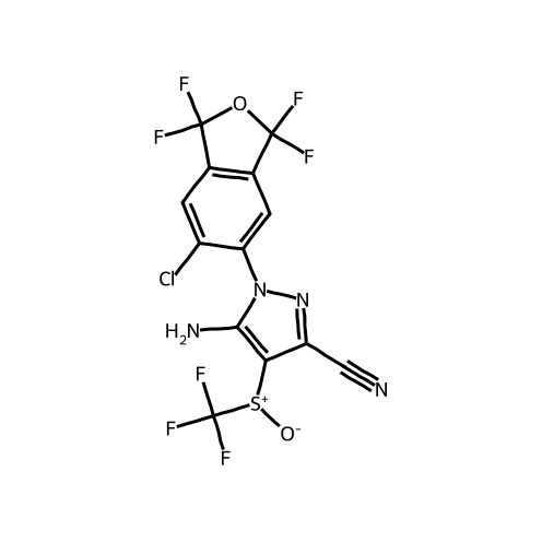 N#Cc1nn(-c2cc3c(cc2Cl)C(F)(F)OC3(F)F)c(N)c1[S+]([O-])C(F)(F)F